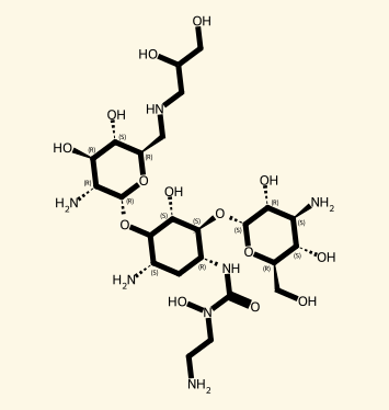 NCCN(O)C(=O)N[C@@H]1C[C@H](N)C(O[C@H]2O[C@H](CNCC(O)CO)[C@@H](O)[C@H](O)[C@H]2N)[C@H](O)[C@H]1O[C@H]1O[C@H](CO)[C@@H](O)[C@H](N)[C@H]1O